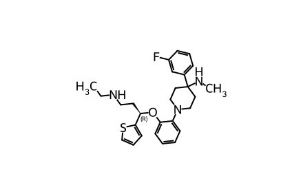 CCNCC[C@@H](Oc1ccccc1N1CCC(NC)(c2cccc(F)c2)CC1)c1cccs1